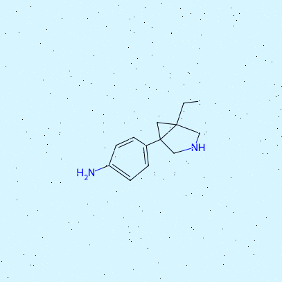 CCC12CNCC1(c1ccc(N)cc1)C2